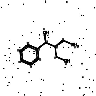 NC[C@@H](CO)[C@H](O)c1ccccc1